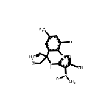 C=CC1(CCl)Nc2c([S+](C)[O-])c(C#N)nn2-c2c(Cl)cc(C(F)(F)F)cc21